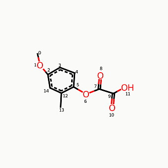 COc1ccc(OC(=O)C(=O)O)c(C)c1